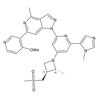 COc1ccncc1-c1cc2c(cnn2-c2cc(N3C[C@H](CS(C)(=O)=O)[C@H]3C)cc(-c3cncn3C)n2)c(C)n1